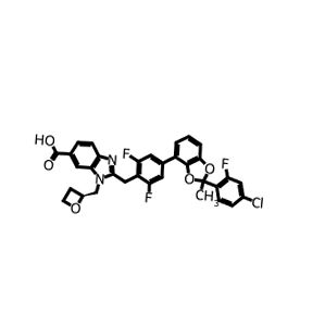 CC1(c2ccc(Cl)cc2F)Oc2cccc(-c3cc(F)c(Cc4nc5ccc(C(=O)O)cc5n4C[C@@H]4CCO4)c(F)c3)c2O1